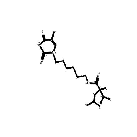 Cc1cn(CCCCCCOC(=O)C(C)(CC(C)C)C(C)C)c(=O)[nH]c1=S